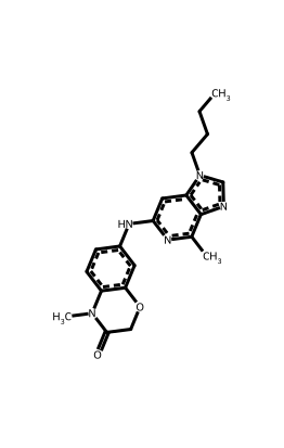 CCCCn1cnc2c(C)nc(Nc3ccc4c(c3)OCC(=O)N4C)cc21